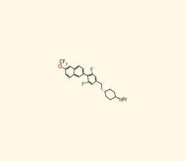 CCC[C@H]1CC[C@H](CCc2cc(F)c(-c3ccc4cc(OC(F)(F)F)ccc4c3)c(F)c2)CC1